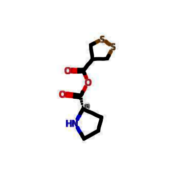 O=C(OC(=O)[C@@H]1CCCN1)C1CSSC1